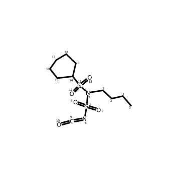 CCCCN(S(=O)(=O)N=C=O)S(=O)(=O)C1CCCCC1